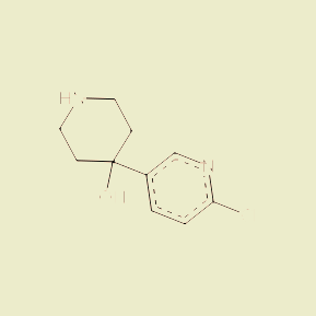 OC1(c2ccc(Cl)nc2)CCNCC1